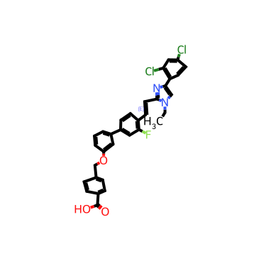 CCn1cc(-c2ccc(Cl)cc2Cl)nc1/C=C/c1ccc(-c2cccc(OCc3ccc(C(=O)O)cc3)c2)cc1F